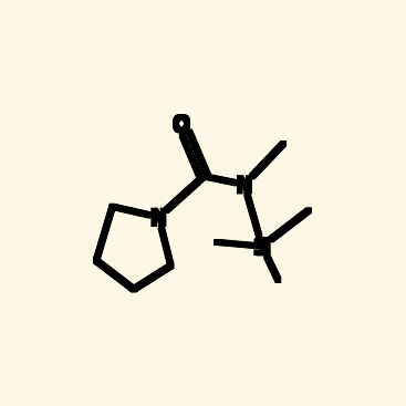 CN(C(=O)N1CCCC1)[Si](C)(C)C